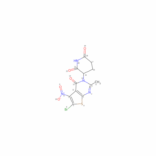 Cc1nc2sc(Br)c([N+](=O)[O-])c2c(=O)n1C1CCC(=O)NC1=O